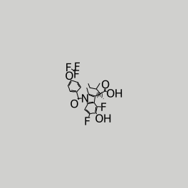 CCC(C)[C@@](C)(C(=O)O)c1c(C)n(C(=O)c2ccc(OC(F)(F)F)cc2)c2cc(F)c(O)c(F)c12